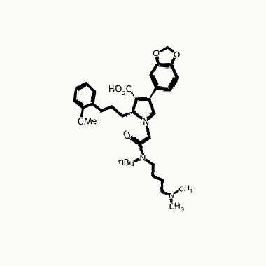 CCCCN(CCCCN(C)C)C(=O)CN1C[C@H](c2ccc3c(c2)OCO3)[C@@H](C(=O)O)[C@@H]1CCCc1ccccc1OC